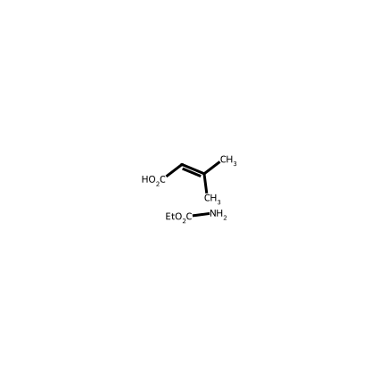 CC(C)=CC(=O)O.CCOC(N)=O